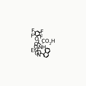 CCC1(C(=O)N[C@@H](CC(=O)O)C(=O)COc2c(F)c(F)cc(F)c2F)CC(c2cccc3ccccc23)=NO1